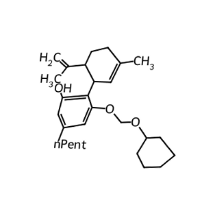 C=C(C)C1CCC(C)=CC1c1c(O)cc(CCCCC)cc1OCOC1CCCCC1